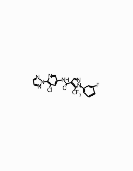 O=C(Nc1cnc(-n2nccn2)c(Cl)c1)c1cnn(-c2cccc(F)c2)c1C(F)(F)F